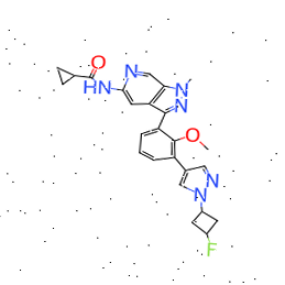 COc1c(-c2cnn(C3CC(F)C3)c2)cccc1-c1nn(C)c2cnc(NC(=O)C3CC3)cc12